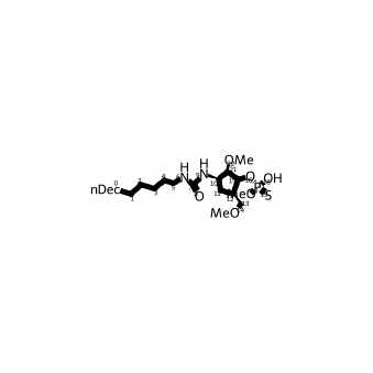 CCCCCCCCCCCCCCCNC(=O)N[C@@H]1C[C@H](COC)C(OP(O)(=S)OC)[C@@H]1OC